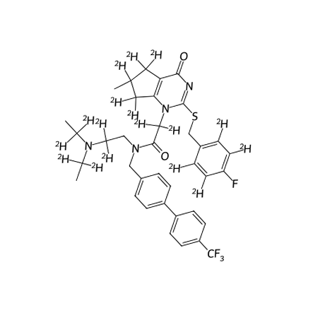 [2H]c1c([2H])c(CSc2nc(=O)c3c(n2C([2H])([2H])C(=O)N(Cc2ccc(-c4ccc(C(F)(F)F)cc4)cc2)CC([2H])([2H])N(C([2H])([2H])C)C([2H])([2H])C)C([2H])([2H])C([2H])(C)C3([2H])[2H])c([2H])c([2H])c1F